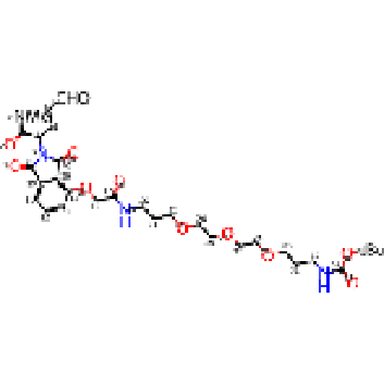 CNC(=O)C(CCC=O)N1C(=O)c2cccc(OCC(=O)NCCCOCCOCCOCCCNC(=O)OC(C)(C)C)c2C1=O